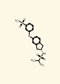 CC(C)S(=O)(=O)N[C@H]1Cc2ccc(Oc3cccc(S(C)(=O)=O)c3)cc2C1